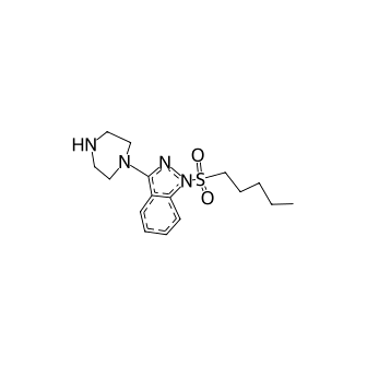 CCCCCS(=O)(=O)n1nc(N2CCNCC2)c2ccccc21